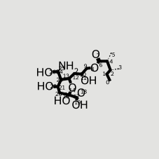 CC[C@@H](C)[C@@H](C)C(=O)OC[C@@H](O)CC1OC(O)(C(=O)O)CC(O)C1[C@@H](N)O